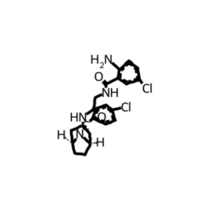 Nc1ccc(Cl)cc1C(=O)NCC(=O)N[C@H]1C[C@H]2CC[C@@H](C1)N2Cc1ccc(Cl)cc1